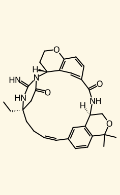 CC[C@]12CC/C=C\c3ccc4c(c3)[C@H](COC4(C)C)NC(=O)c3ccc4c(c3)[C@@H](CCO4)N(C(=N)N1)C(=O)C2